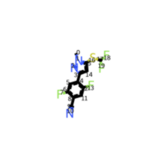 Cn1nc(-c2cc(F)c(C#N)cc2F)cc1SC(F)F